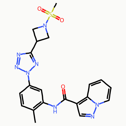 Cc1ccc(-n2nnc(C3CN(S(C)(=O)=O)C3)n2)cc1NC(=O)c1cnn2ccccc12